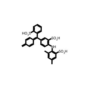 C=c1ccc(=C(c2ccc(Nc3c(C)cc(C)cc3S(=O)(=O)O)c(S(=O)(=O)O)c2)c2ccccc2S(=O)(=O)O)cc1